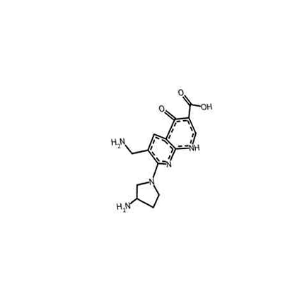 NCc1cc2c(=O)c(C(=O)O)c[nH]c2nc1N1CCC(N)C1